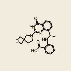 C[C@@H](Nc1ccccc1C(=O)O)c1cccc2c(=O)n(C)c(N3CCC4(COC4)C3)nc12